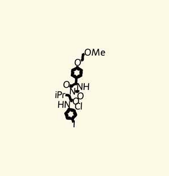 COCCOc1ccc(C2NC(=O)N(C(C(=O)Nc3ccc(I)cc3Cl)C(C)C)C2=O)cc1